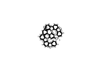 N#Cc1cccc(-c2c(-n3c4ccccc4c4ccc5oc6ccccc6c5c43)cc(C(F)(F)F)cc2-n2c3ccccc3c3ccc4oc5ccccc5c4c32)c1